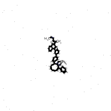 C/C=C\c1oc2c3ccccc3c3c4cc(-c5ccc(-c6ccccccc(-c7ccccc7)c(=C/C)/c6=C\C)cc5)ccc4sc3c2c1C